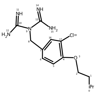 CC(C)CCOc1ccc(CN(C(=N)N)C(=N)N)cc1Cl